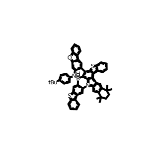 CC(C)(C)c1ccc(Nc2cc3oc4ccccc4c3cc2-c2c3c4c(c5cc6c(cc5n4-c4cc5c(cc4B3)sc3ccccc35)C(C)(C)CCC6(C)C)c3c2sc2ccccc23)cc1